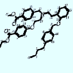 CCCCc1ccc(COc2ccccc2CCN(CCOc2ccc(C(=O)OCC)cc2)Cc2ccc(C(=O)OC)cc2)cc1